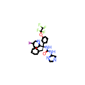 O=C(Nc1cnccn1)N[C@@](Cc1ccccc1)(c1cccc(OC(F)(F)C(F)F)c1)c1ccc(I)cn1